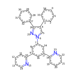 c1ccc(-c2cn(-c3cc(-c4ccccn4)cc(-c4ccccn4)c3)nc2-c2ccccc2)cc1